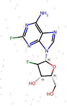 Nc1nc(F)nc2c1ncn2[C@@H]1O[C@H](CO)[C@H](O)C1F